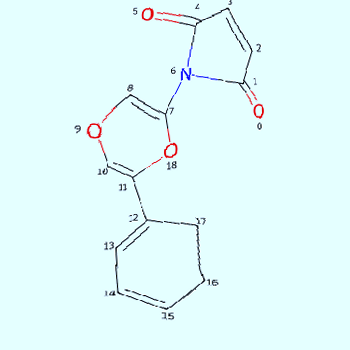 O=C1C=CC(=O)N1C1=COC=C(C2=CC=CCC2)O1